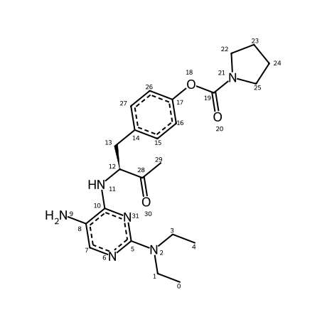 CCN(CC)c1ncc(N)c(N[C@@H](Cc2ccc(OC(=O)N3CCCC3)cc2)C(C)=O)n1